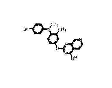 CC[C@@H](C)c1ccc(N(C)c2ccc(Oc3nc(O)c4ccncc4n3)cc2C)cc1